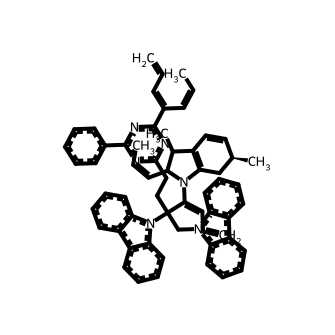 C=C/C=C(\C=C/C)c1nc(CCC(Cn2c3ccccc3c3ccccc32)(/C(=C\C=C)N2C3=C(C=C[C@@H](C)C3)C(C)C2/C=C\C)n2c3ccccc3c3ccccc32)nc(-c2ccccc2)n1